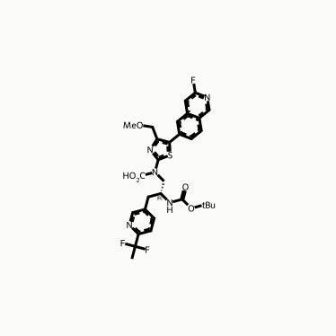 COCc1nc(N(C[C@@H](Cc2ccc(C(C)(F)F)nc2)NC(=O)OC(C)(C)C)C(=O)O)sc1-c1ccc2cnc(F)cc2c1